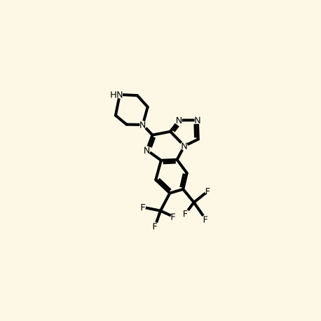 FC(F)(F)c1cc2nc(N3CCNCC3)c3nncn3c2cc1C(F)(F)F